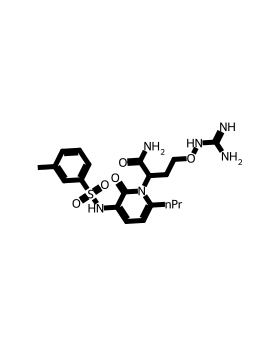 CCCc1ccc(NS(=O)(=O)c2cccc(C)c2)c(=O)n1C(CCONC(=N)N)C(N)=O